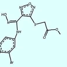 COC(=O)CSc1nonc1/C(=N\O)Nc1ccc(F)c(Br)c1